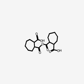 O=C(O)C1CCCCCC1C(=O)OC(=O)C1CCCCCC1C(=O)O